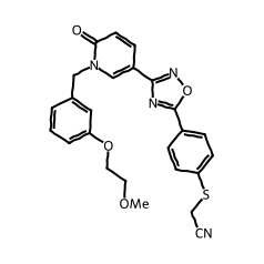 COCCOc1cccc(Cn2cc(-c3noc(-c4ccc(SCC#N)cc4)n3)ccc2=O)c1